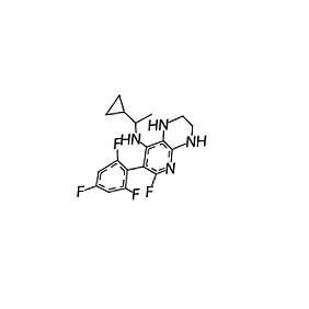 CC(Nc1c2c(nc(F)c1-c1c(F)cc(F)cc1F)NCCN2)C1CC1